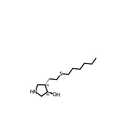 CCCCCCSCC[C@H]1CNC[C@@H]1O